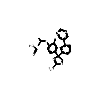 Cc1cc(C2(c3cccc(-c4cncnc4)c3)COC(N)=N2)ccc1OC(C)C.O=CO